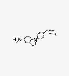 Nc1ccc2c(c1)CCN2c1ccc(CC(F)(F)F)cc1